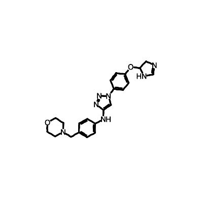 C1=NCC(Oc2ccc(-n3cc(Nc4ccc(CN5CCOCC5)cc4)nn3)cc2)N1